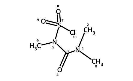 CN(C)C(=O)N(C)S(=O)(=O)Cl